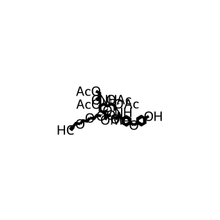 C#CCOCCOCCO[C@]1(C(=O)OC)C[C@H](OC(C)=O)[C@@H](NC(=O)COC(C)=O)[C@H]([C@H](OC(C)=O)[C@@H](CNC(=O)c2ccc(Oc3ccc(O)cc3)cc2)OC(C)=O)O1